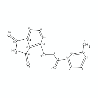 Cc1cccc(C(=O)COc2cccc3c2C(=O)NC3=O)c1